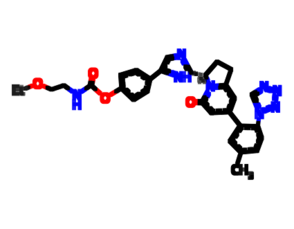 CCOCCNC(=O)Oc1ccc(-c2cnc([C@@H]3CCc4cc(-c5cc(C)ccc5-n5cnnn5)cc(=O)n43)[nH]2)cc1